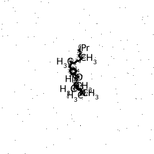 CC(C)CCCC(C)CCCC(C)Cc1ccc(C(=O)NCC[N+](C)(C)CCN(C)C)cc1